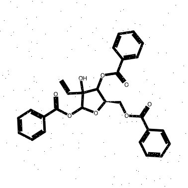 C=CC1(O)C(OC(=O)c2ccccc2)O[C@H](COC(=O)c2ccccc2)C1OC(=O)c1ccccc1